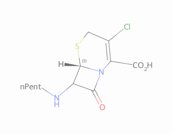 CCCCCNC1C(=O)N2C(C(=O)O)=C(Cl)CS[C@@H]12